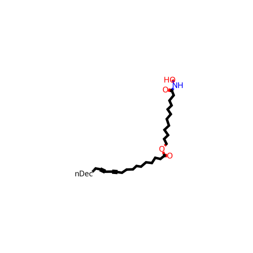 CCCCCCCCCCCC#CC#CCCCCCCCCCC(=O)OCCCCCCCCCCCC(=O)NO